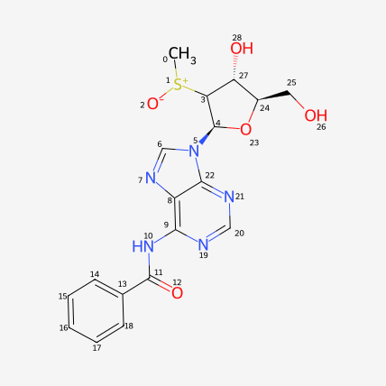 C[S+]([O-])C1[C@H](n2cnc3c(NC(=O)c4ccccc4)ncnc32)O[C@H](CO)[C@H]1O